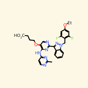 CCOc1cc(F)c(Cn2nc(-c3ncc(OCCCC(=O)O)c(Nc4ccnc(C)n4)n3)c3ccccc32)c(F)c1